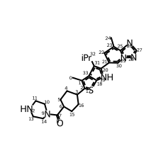 Cc1c(C2CCC(C(=O)N3CCNCC3)CC2)sc2[nH]c(-c3cc(C)c4ncnn4c3)c(C(C)C)c12